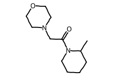 CC1CCCCN1C(=O)CN1CCOCC1